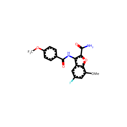 COc1cc(F)cc2c(NC(=O)c3ccc(OC(F)(F)F)cc3)c(C(N)=O)oc12